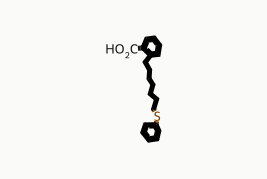 O=C(O)c1ccccc1CCCCCCCSc1ccccc1